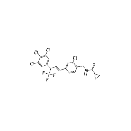 FC(F)(F)C(/C=C/c1ccc(CNC(=S)C2CC2)c(Cl)c1)c1cc(Cl)c(Cl)c(Cl)c1